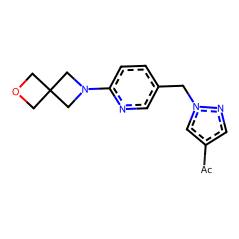 CC(=O)c1cnn(Cc2ccc(N3CC4(COC4)C3)nc2)c1